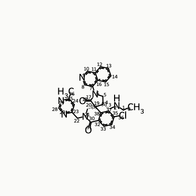 CCNC[C@H]1CN(c2cncc3ccccc23)C(=O)[C@@]12CN(Cc1cc(C)ncn1)C(=O)c1ccc(Cl)cc12